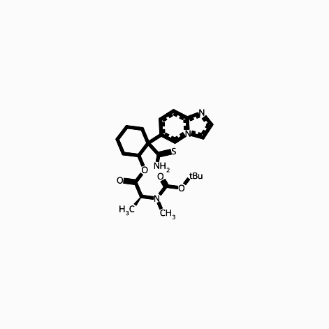 C[C@@H](C(=O)OC1CCCCC1(C(N)=S)c1ccc2nccn2c1)N(C)C(=O)OC(C)(C)C